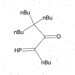 CCCCC(=P)C(=O)C(CCCC)(CCCC)CCCC